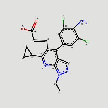 CCn1ncc2c(-c3cc(Cl)c(N)c(Cl)c3)c(/C=C/C(=O)O)c(C3CC3)nc21